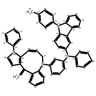 C=C1c2ccccc2N(c2cccc(N(c3ccccc3)c3ccc4c(c3)c3ccccc3n4-c3ccc(C)cc3)c2)C/C=C\c2c1ccn2-c1ccccc1